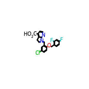 O=C(O)c1ccnc2c1CCN2Cc1cc(Cl)ccc1OCc1ccc(F)cc1F